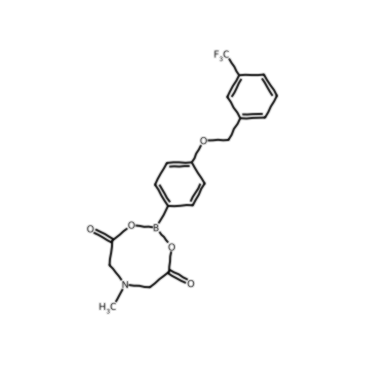 CN1CC(=O)OB(c2ccc(OCc3cccc(C(F)(F)F)c3)cc2)OC(=O)C1